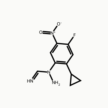 N=CN(N)c1cc([N+](=O)[O-])c(F)cc1C1CC1